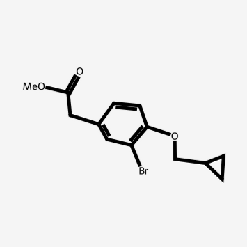 COC(=O)Cc1ccc(OCC2CC2)c(Br)c1